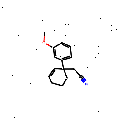 COc1cccc(C2(CC#N)C=CCCC2)c1